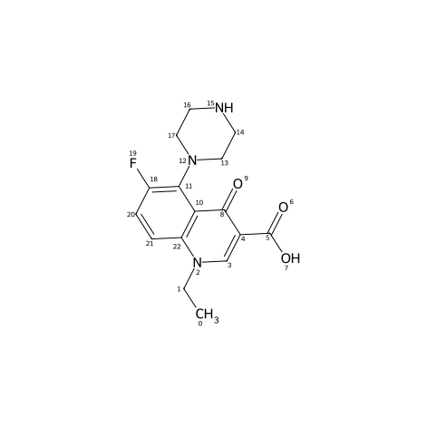 CCn1cc(C(=O)O)c(=O)c2c(N3CCNCC3)c(F)ccc21